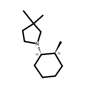 C[C@H]1CCCC[C@@H]1N1CCC(C)(C)C1